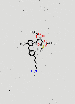 CS[C@H]1O[C@@H](c2ccc(C)c(Cc3ccc(CCCCCN)cc3)c2)[C@H](OC(C)=O)[C@@H](O)[C@@H]1OC(C)=O